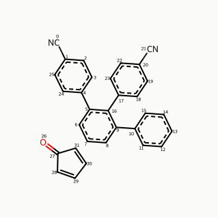 N#Cc1ccc(-c2cccc(-c3ccccc3)c2-c2ccc(C#N)cc2)cc1.O=C1C=CC=C1